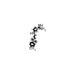 Cc1ccc(S(=O)(=O)CCCNC2CCN(C(=N)N)C2)cc1